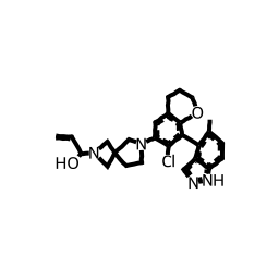 C=CC(O)N1CC2(CCN(c3cc4c(c(-c5c(C)ccc6[nH]ncc56)c3Cl)OCCC4)C2)C1